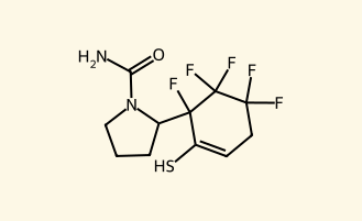 NC(=O)N1CCCC1C1(F)C(S)=CCC(F)(F)C1(F)F